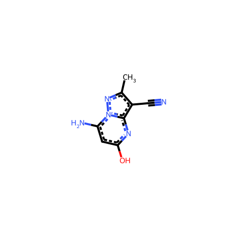 Cc1nn2c(N)cc(O)nc2c1C#N